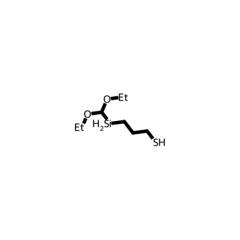 CCOC(OCC)[SiH2]CCCS